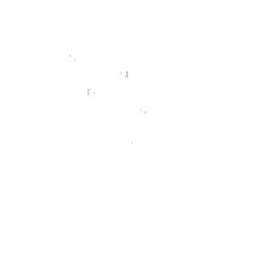 CN(C)S(=O)(=O)NC(=N)C1CN(c2ccc(Cl)cc2)C(c2ccc(Cl)cc2Cl)=N1